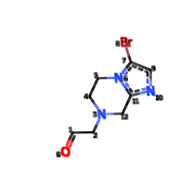 O=CCN1CCn2c(Br)cnc2C1